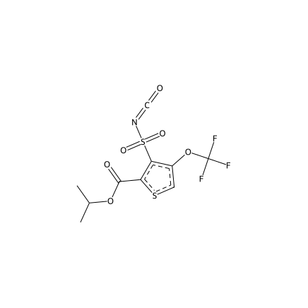 CC(C)OC(=O)c1scc(OC(F)(F)F)c1S(=O)(=O)N=C=O